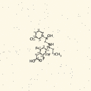 CCCN(NC[C@H](O)c1cccc(Cl)c1)c1cc(F)c(CC(=O)O)c(F)c1F